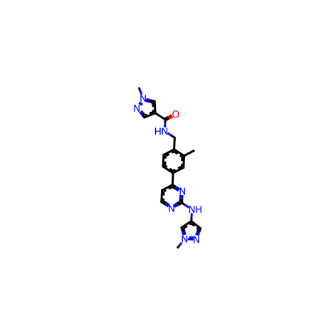 Cc1cc(-c2ccnc(Nc3cnn(C)c3)n2)ccc1CNC(=O)c1cnn(C)c1